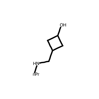 CCCNCC1CC(O)C1